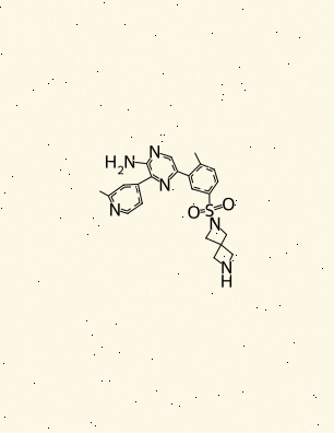 Cc1cc(-c2nc(-c3cc(S(=O)(=O)N4CC5(CNC5)C4)ccc3C)cnc2N)ccn1